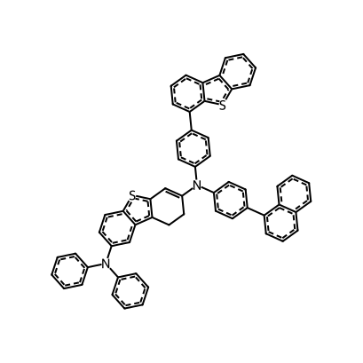 C1=C(N(c2ccc(-c3cccc4ccccc34)cc2)c2ccc(-c3cccc4c3sc3ccccc34)cc2)CCc2c1sc1ccc(N(c3ccccc3)c3ccccc3)cc21